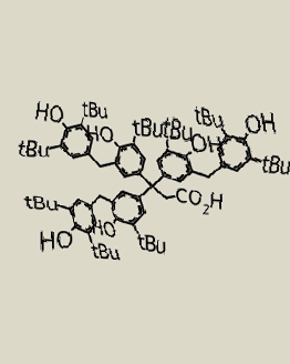 CC(C)(C)c1cc(C(CC(=O)O)(c2cc(Cc3cc(C(C)(C)C)c(O)c(C(C)(C)C)c3)c(O)c(C(C)(C)C)c2)c2cc(Cc3cc(C(C)(C)C)c(O)c(C(C)(C)C)c3)c(O)c(C(C)(C)C)c2)cc(Cc2cc(C(C)(C)C)c(O)c(C(C)(C)C)c2)c1O